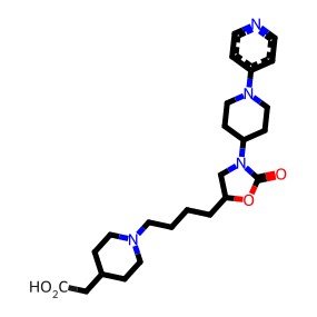 O=C(O)CC1CCN(CCCCC2CN(C3CCN(c4ccncc4)CC3)C(=O)O2)CC1